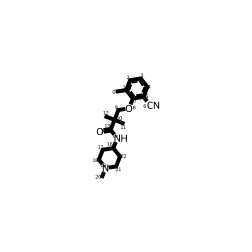 Cc1cccc(C#N)c1OCC(C)(C)C(=O)NC1CCN(C)CC1